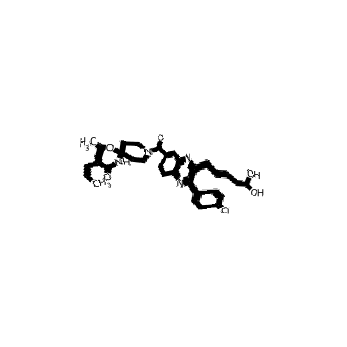 C/C=C\C1=C(C)OC2(CCN(C(=O)C3=Cc4nc(CCCCC(O)O)c(C5=CCC(Cl)C=C5)nc4CC3)CC2)NC1=O